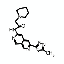 Cc1nnc(-c2cc3cc(NC(=O)CN4CCCCC4)ncc3cn2)s1